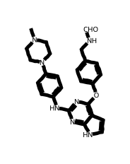 CN1CCN(c2ccc(Nc3nc(Oc4ccc(CNC=O)cc4)c4cc[nH]c4n3)cc2)CC1